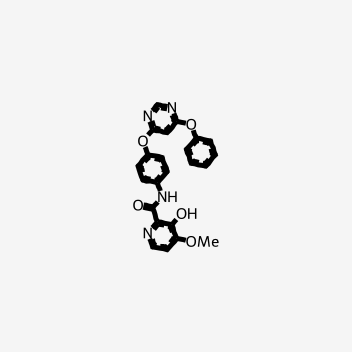 COc1ccnc(C(=O)Nc2ccc(Oc3cc(Oc4ccccc4)ncn3)cc2)c1O